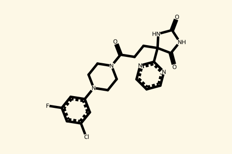 O=C1NC(=O)C(CCC(=O)N2CCN(c3cc(F)cc(Cl)c3)CC2)(c2ncccn2)N1